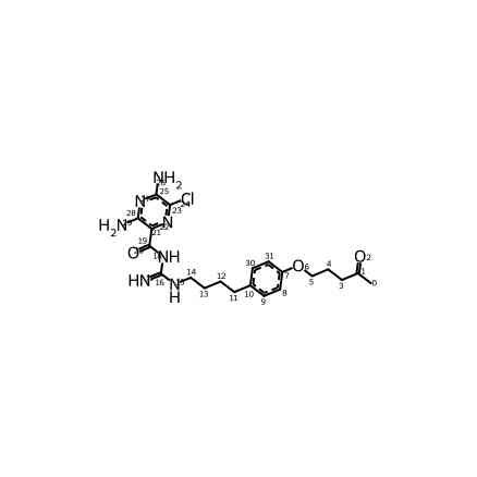 CC(=O)CCCOc1ccc(CCCCNC(=N)NC(=O)c2nc(Cl)c(N)nc2N)cc1